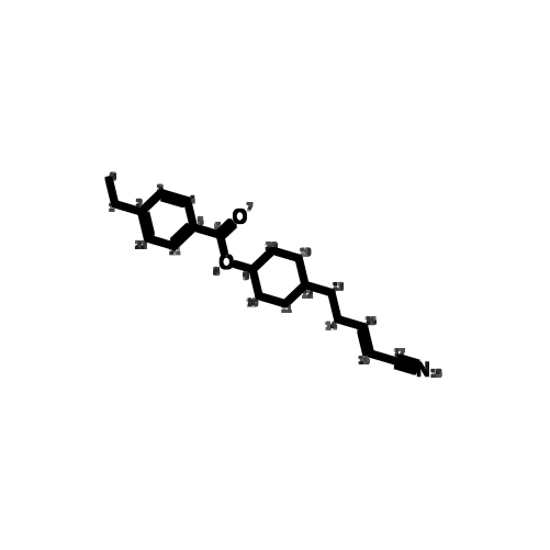 CCc1ccc(C(=O)OC2CCC(CC/C=C/C#N)CC2)cc1